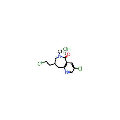 CN1CC(CCCl)Cc2ncc(Cl)cc2C1=O.Cl